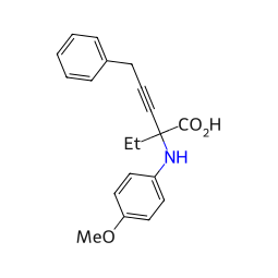 CCC(C#CCc1ccccc1)(Nc1ccc(OC)cc1)C(=O)O